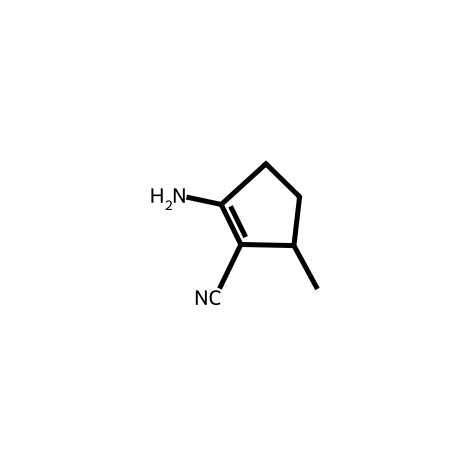 CC1CCC(N)=C1C#N